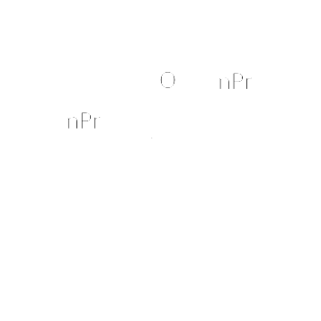 CCCOC1(CCC)CCCC1